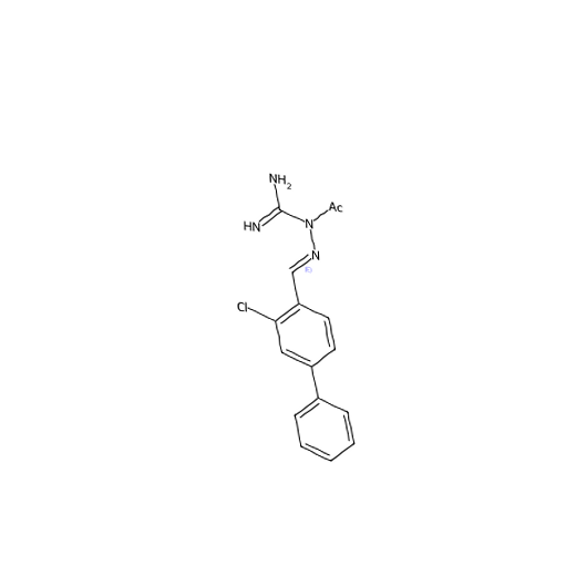 CC(=O)N(/N=C/c1ccc(-c2ccccc2)cc1Cl)C(=N)N